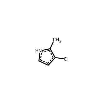 Cc1[nH]ccc1Cl